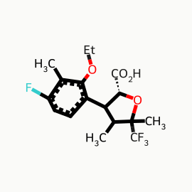 CCOc1c(C2C(C)C(C)(C(F)(F)F)O[C@H]2C(=O)O)ccc(F)c1C